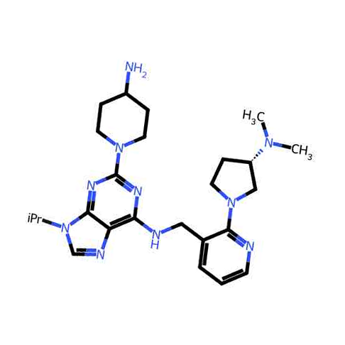 CC(C)n1cnc2c(NCc3cccnc3N3CC[C@H](N(C)C)C3)nc(N3CCC(N)CC3)nc21